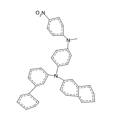 CN(c1ccc(N(c2cccc(-c3ccccc3)c2)c2ccc3ccccc3c2)cc1)c1ccc([N+](=O)[O-])cc1